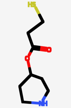 O=C(CCS)OC1CCNCC1